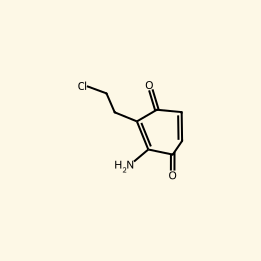 NC1=C(CCCl)C(=O)C=CC1=O